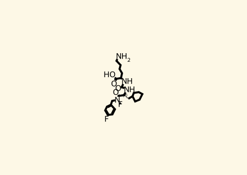 NCCCCC(NC(=O)N[C@H](CC1CCCCC1)C(=O)N(F)Cc1ccc(F)cc1)C(=O)O